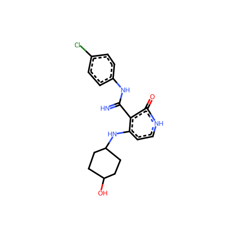 N=C(Nc1ccc(Cl)cc1)c1c(NC2CCC(O)CC2)cc[nH]c1=O